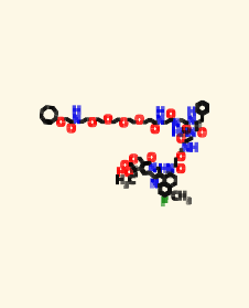 CC[C@@]1(O)C(=O)OCc2c1cc1n(c2=O)Cc2c-1nc1cc(F)c(C)c3c1c2[C@@H](NC(=O)COCNC(=O)CNC(=O)[C@H](Cc1ccccc1)NC(=O)CNC(=O)CNC(=O)CCOCCOCCOCCOCCNC(=O)COC1C#CCCCCC1)CC3